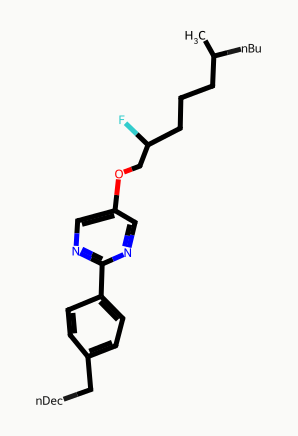 CCCCCCCCCCCc1ccc(-c2ncc(OCC(F)CCCC(C)CCCC)cn2)cc1